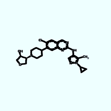 Cc1c(Nc2ncc3cc(Cl)c(C4CCN([C@H]5COC[C@H]5O)CC4)cc3n2)cnn1C1CC1